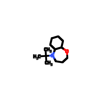 CC(C)(C)N1CCCOC2CCCCC21